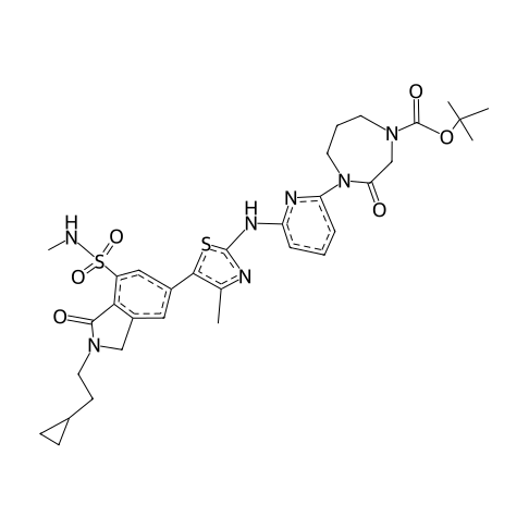 CNS(=O)(=O)c1cc(-c2sc(Nc3cccc(N4CCCN(C(=O)OC(C)(C)C)CC4=O)n3)nc2C)cc2c1C(=O)N(CCC1CC1)C2